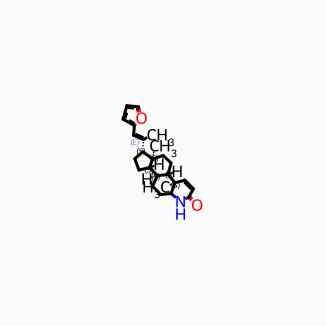 C/C(=C\c1ccco1)[C@H]1CC[C@H]2[C@@H]3CCC4NC(=O)C=C[C@]4(C)[C@H]3CC[C@]12C